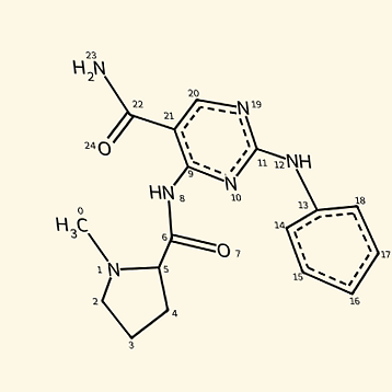 CN1CCCC1C(=O)Nc1nc(Nc2ccccc2)ncc1C(N)=O